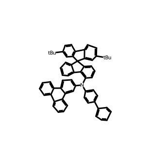 CC(C)(C)c1ccc2c(c1)C1(c3cc(C(C)(C)C)ccc3-2)c2ccccc2-c2c(N(c3ccc(-c4ccccc4)cc3)c3ccc4c5ccccc5c5ccccc5c4c3)cccc21